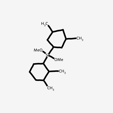 CO[Si](OC)(C1CC(C)CC(C)C1)C1CCCC(C)C1C